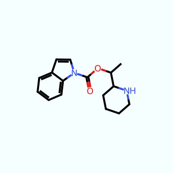 CC(OC(=O)n1ccc2ccccc21)C1CCCCN1